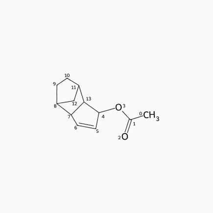 CC(=O)OC1C=CC2C3CCC(C3)C12